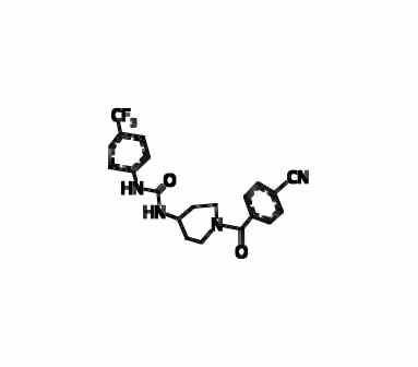 N#Cc1ccc(C(=O)N2CCC(NC(=O)Nc3ccc(C(F)(F)F)cc3)CC2)cc1